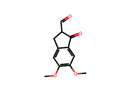 COc1cc2c(cc1OC)C(=O)C(C=O)C2